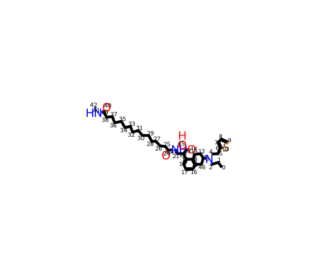 CCCN(CCc1cccs1)C1CCc2c(cccc2C(CNC(=O)CCCCCCCCCCCCCCC(=O)NC)C(=O)O)C1